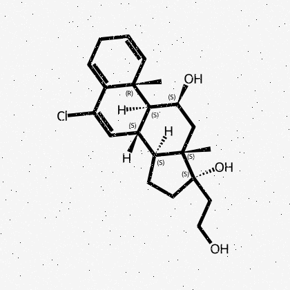 C[C@]12C=CCC=C1C(Cl)=C[C@@H]1[C@@H]2[C@@H](O)C[C@@]2(C)[C@H]1CC[C@]2(O)CCO